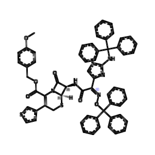 COc1ccc(COC(=O)C2=C(c3ccsc3)CS[C@@H]3[C@H](NC(=O)/C(=N\OC(c4ccccc4)(c4ccccc4)c4ccccc4)c4csc(NC(c5ccccc5)(c5ccccc5)c5ccccc5)n4)C(=O)N23)cc1